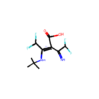 CC(C)(C)N/C(=C(\C(=N)C(F)F)C(=O)O)C(F)F